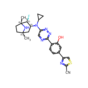 C[C@@]12CC[C@@](C)(N1)[C@@H](F)[C@@H](N(c1cnc(-c3ccc(-c4csc(C#N)n4)cc3O)nn1)C1CC1)C2